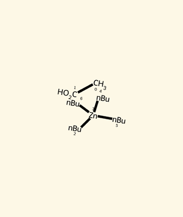 CC(=O)O.CCC[CH2][Zn]([CH2]CCC)([CH2]CCC)[CH2]CCC